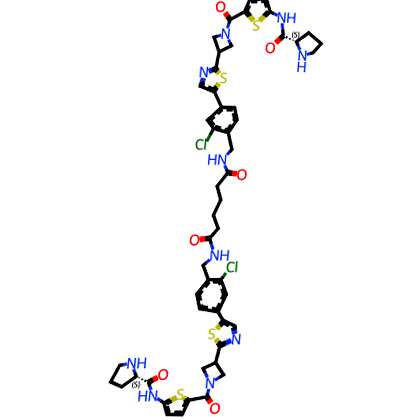 O=C(CCCCC(=O)NCc1ccc(-c2cnc(C3CN(C(=O)c4ccc(NC(=O)[C@@H]5CCCN5)s4)C3)s2)cc1Cl)NCc1ccc(-c2cnc(C3CN(C(=O)c4ccc(NC(=O)[C@@H]5CCCN5)s4)C3)s2)cc1Cl